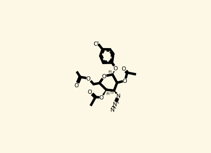 CC(=O)OCC1O[C@H](Oc2ccc(Cl)cc2)C(OC(C)=O)[C@@H](N=[N+]=[N-])[C@H]1OC(C)=O